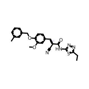 CCc1nnc(NC(=O)/C(C#N)=C/c2ccc(OCc3cccc(C)c3)c(OC)c2)s1